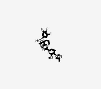 COc1nc(-c2nnc3n2CCCC3(Oc2cc(F)c(F)c(F)c2)C(C)(O)O)ccc1-n1cnc(C)c1